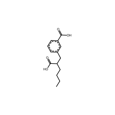 CCCCC(Cc1cccc(C(=O)O)c1)C(=O)O